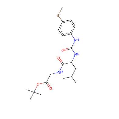 CSc1ccc(NC(=O)NC(CC(C)C)C(=O)NCC(=O)OC(C)(C)C)cc1